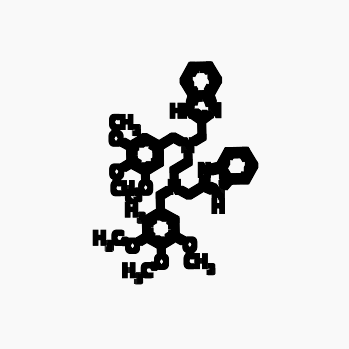 COc1cc(CN(CCN(Cc2cc(OC)c(OC)c(OC)c2)Cc2nc3ccccc3[nH]2)Cc2nc3ccccc3[nH]2)cc(OC)c1OC